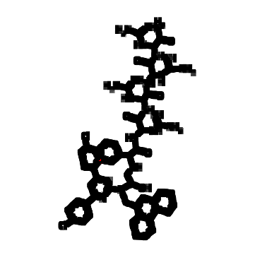 N=C(N)NC(NC(=O)C(NC(=N)N)NC(=O)C(NC(=N)N)NC(=O)C(NC(=N)N)NC(=O)C(NCC(O)N(Cc1cc2ccccc2c2ccccc12)c1nc(-c2ccc(Cl)cc2)cc(-c2ccc(Cl)cc2)n1)c1ccccc1)C(N)=O